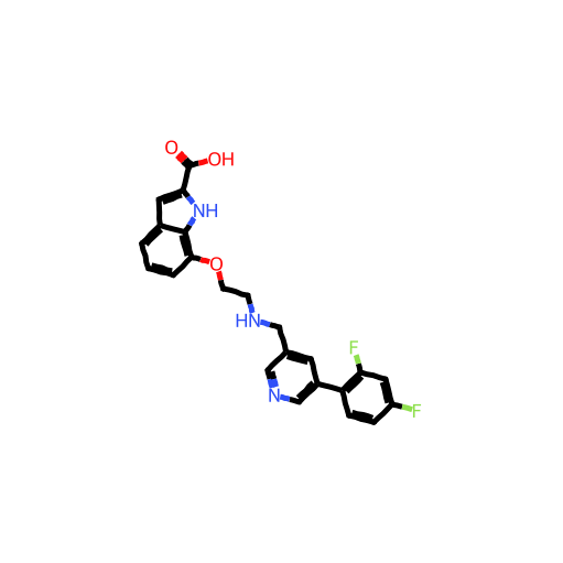 O=C(O)c1cc2cccc(OCCNCc3cncc(-c4ccc(F)cc4F)c3)c2[nH]1